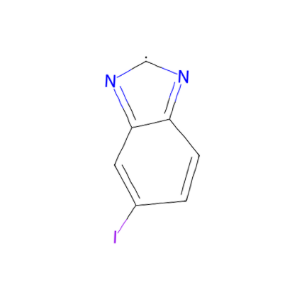 Ic1ccc2c(c1)=N[CH]N=2